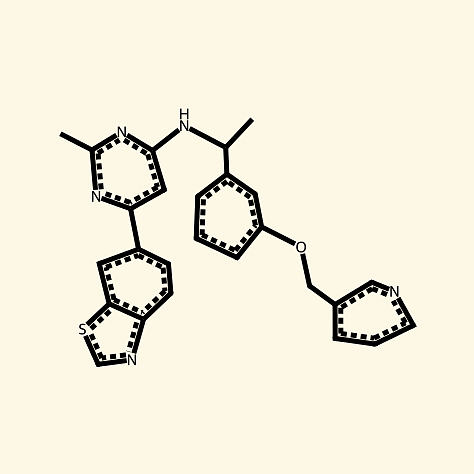 Cc1nc(NC(C)c2cccc(OCc3cccnc3)c2)cc(-c2ccc3ncsc3c2)n1